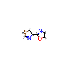 C1=NC(C2=NCCO2)CS1